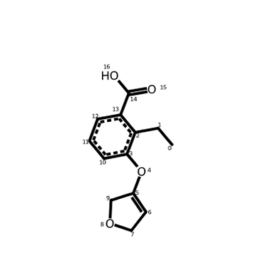 CCc1c(OC2=CCOC2)cccc1C(=O)O